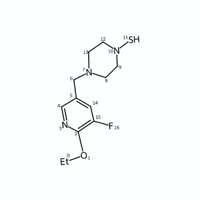 CCOc1ncc(CN2CCN(S)CC2)cc1F